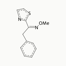 CON=C(Cc1ccccc1)c1nccs1